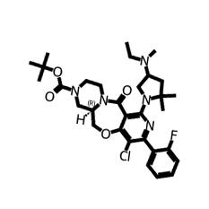 CCN(C)C1CN(c2nc(-c3ccccc3F)c(Cl)c3c2C(=O)N2CCN(C(=O)OC(C)(C)C)C[C@@H]2CO3)C(C)(C)C1